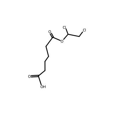 O=C(O)CCCCC(=O)OC(Cl)CCl